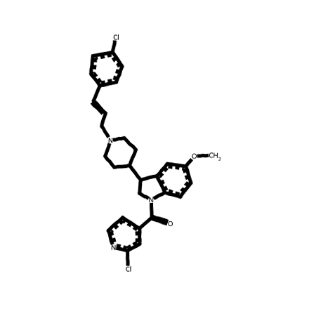 COc1ccc2c(c1)C(C1CCN(C/C=C/c3ccc(Cl)cc3)CC1)CN2C(=O)c1ccnc(Cl)c1